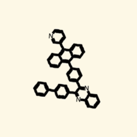 c1ccc(-c2ccc(-c3nc4ccccc4nc3-c3ccc(-c4c5ccccc5c(-c5cccnc5)c5ccccc45)cc3)cc2)cc1